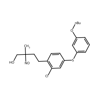 CCCCOc1cccc(Sc2ccc(CCC(C)(CO)N=O)c(Cl)c2)c1